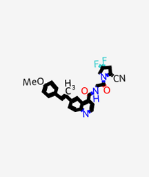 COc1ccc(C=C(C)c2ccc3nccc(C(=O)NCC(=O)N4CC(F)(F)CC4C#N)c3c2)cc1